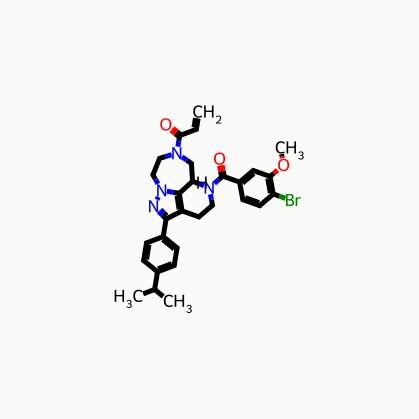 C=CC(=O)N1CCn2nc(-c3ccc(C(C)C)cc3)c3c2[C@@H](C1)N(C(=O)c1ccc(Br)c(OC)c1)CC3